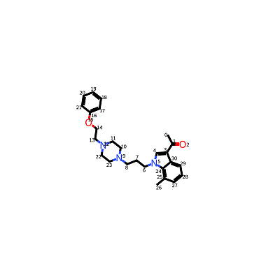 CC(=O)c1cn(CCCN2CCN(CCOc3ccccc3)CC2)c2c(C)cccc12